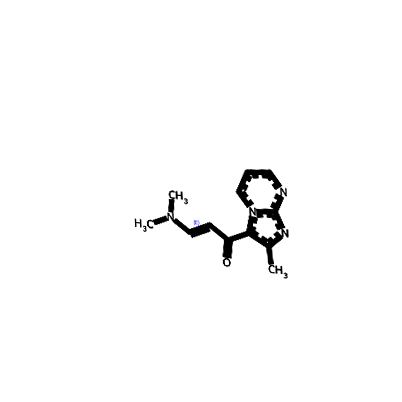 Cc1nc2ncccn2c1C(=O)/C=C/N(C)C